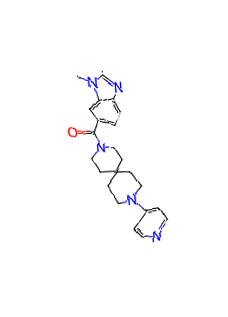 Cn1[c]nc2ccc(C(=O)N3CCC4(CC3)CCN(c3ccncc3)CC4)cc21